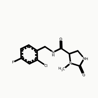 CN1C(=O)NCC1C(=O)NCc1ccc(F)cc1Cl